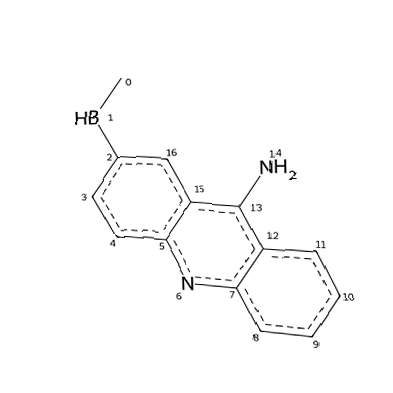 CBc1ccc2nc3ccccc3c(N)c2c1